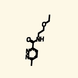 CCOCCNC(=O)c1ccc(C)nn1